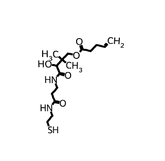 C=CCCC(=O)OCC(C)(C)C(O)C(=O)NCCC(=O)NCCS